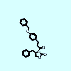 O=C(CCc1ccc(OCc2ccccc2)cc1)N1C(=O)OCC1Cc1ccccc1